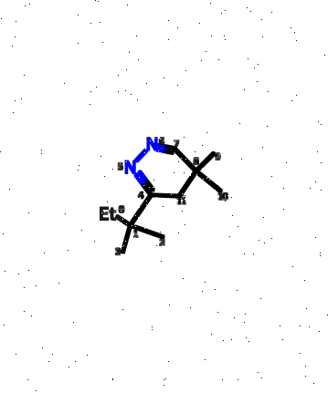 CCC(C)(C)C1=NN=CC(C)(C)C1